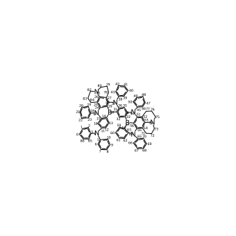 c1ccc(N(c2ccccc2)c2ccc3c(c2)N(c2ccccc2)c2c4c5c(c6c2B3c2cc3c(cc2N6c2ccccc2)N(c2ccccc2)c2c6c7c(c8c2B3c2ccccc2N8c2ccccc2)CCCN7CCC6)CCCN5CCC4)cc1